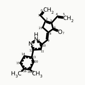 C=CC1=C(C=C)C(=O)/C(=C/c2cc(-c3ccc(C)c(C)c3)n[nH]2)C1